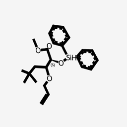 C=CCOC(CC(C)(C)C)[C@H](O[SiH](c1ccccc1)c1ccccc1)C(=O)OC